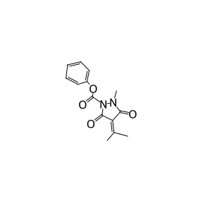 CC(C)=C1C(=O)N(C)N(C(=O)Oc2ccccc2)C1=O